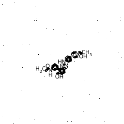 C=CC(=O)Nc1cccc(-c2c(CO)ccc3cnc(Nc4ccc(N5CCN(CC(C)O)CC5)cc4)nc23)c1